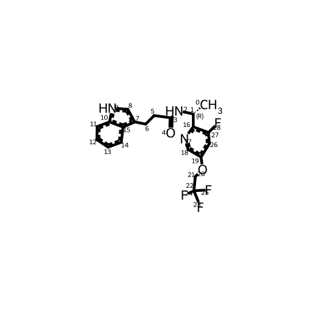 C[C@@H](NC(=O)CCc1c[nH]c2ccccc12)c1ncc(OCC(F)(F)F)cc1F